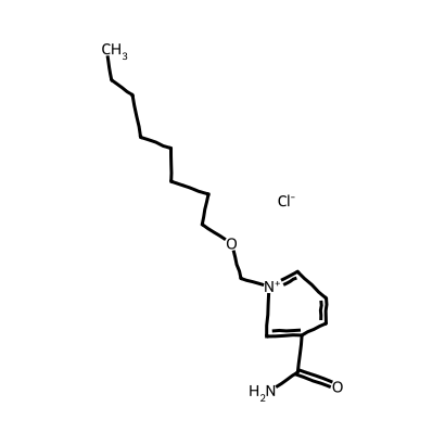 CCCCCCCCOC[n+]1cccc(C(N)=O)c1.[Cl-]